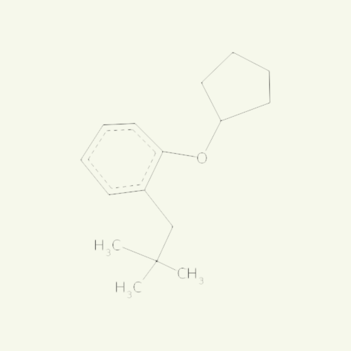 CC(C)(C)Cc1ccccc1OC1CCCC1